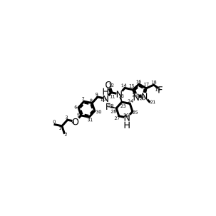 CC(C)COc1ccc(CNC(=O)N(Cc2cc(CF)n(C)n2)[C@H]2CCNC[C@H]2F)cc1